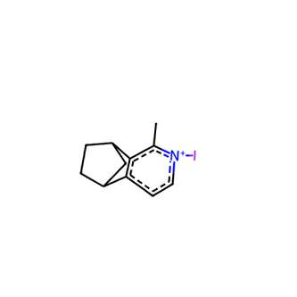 Cc1c2c(cc[n+]1I)C1CCC2C1